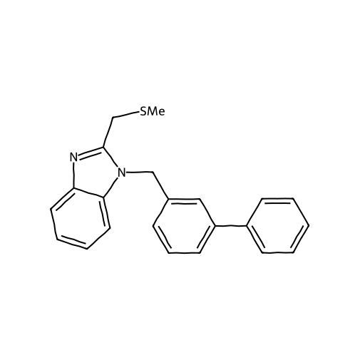 CSCc1nc2ccccc2n1Cc1cccc(-c2ccccc2)c1